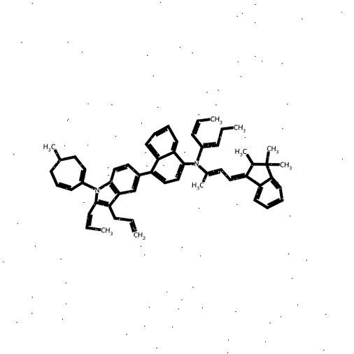 C=CCc1c(/C=C\C)n(C2=CCC(C)CC=C2)c2ccc(-c3ccc(N(/C(C)=C/C=C4/c5ccccc5C(C)(C)C4C)C(/C=C\C)=C/CC)c4ccccc34)cc12